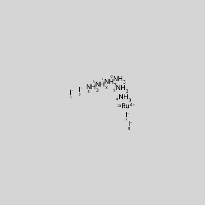 N.N.N.N.N.N.[I-].[I-].[I-].[I-].[Ru+4]